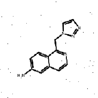 Nc1ccc2c(Cn3ccnn3)nccc2c1